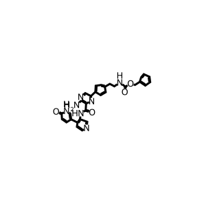 Nc1ncc(-c2ccc(CCNC(=O)OCc3ccccc3)cc2)nc1C(=O)Nc1cnccc1-c1ccc(=O)[nH]c1